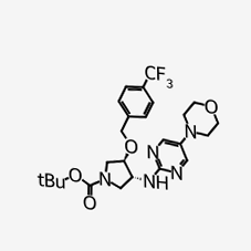 CC(C)(C)OC(=O)N1C[C@@H](Nc2ncc(N3CCOCC3)cn2)[C@H](OCc2ccc(C(F)(F)F)cc2)C1